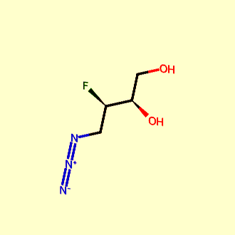 [N-]=[N+]=NC[C@@H](F)[C@H](O)CO